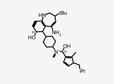 C=[N+](C1CCC(C2C3=C(C#C[C@@H]2O)NCC(C(C)(C)C)C=C3N)CC1)[C@@H](O)C1=C(C)C(CC(C)C)C=C1